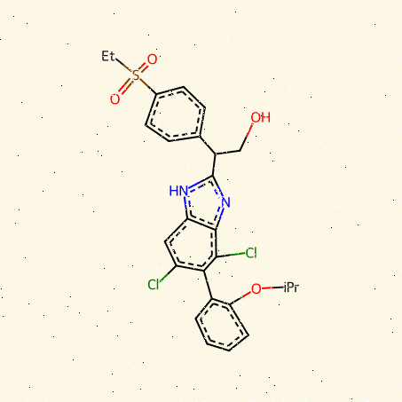 CCS(=O)(=O)c1ccc(C(CO)c2nc3c(Cl)c(-c4ccccc4OC(C)C)c(Cl)cc3[nH]2)cc1